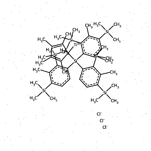 CC1=C(C)[C]([Ti+3])([Si](c2ccc([Si](C)(C)C)c(C)c2[Si](C)(C)C)(c2ccc([Si](C)(C)C)c(C)c2[Si](C)(C)C)c2ccc([Si](C)(C)C)c(C)c2[Si](C)(C)C)C(C)=C1C.[Cl-].[Cl-].[Cl-]